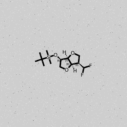 CC(C)(C)[Si](C)(C)O[C@@H]1CO[C@H]2[C@@H]1OC[C@H]2C(F)F